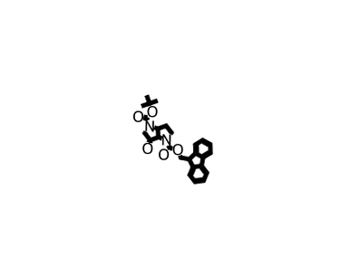 CC(C)(C)OC(=O)N1CC(=O)C2C1CCN2C(=O)OCC1c2ccccc2-c2ccccc21